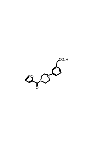 O=C(O)Cc1cccc(N2CCN(C(=O)c3ccco3)CC2)c1